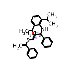 C=C(S/C=C(\C)C(Nc1c(C(C)C)cccc1C(C)C)c1ccccc1)c1ccccc1